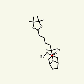 CC(C)(C)OC(=O)N1C2CCC1CC(C(C)(CCCCB1OC(C)(C)C(C)(C)O1)C(C)(C)C)C2